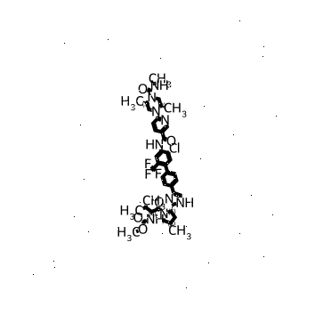 CNC(=O)N1C[C@@H](C)N(c2ccc(C(=O)Nc3cc(C(F)(F)F)c(-c4ccc(-c5c[nH]c([C@@H]6C[C@H](C)CN6C(=O)[C@@H](NC(=O)OC)C(C)C)n5)cc4)cc3Cl)cn2)C[C@@H]1C